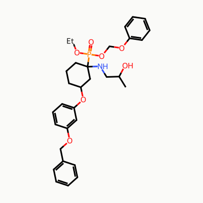 CCOP(=O)(OCOc1ccccc1)C1(NCC(C)O)CCCC(Oc2cccc(OCc3ccccc3)c2)C1